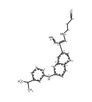 CC(C)c1cnnc(Nc2ccc3ncc(/C(C=N)=C/NCCC=O)cc3n2)c1